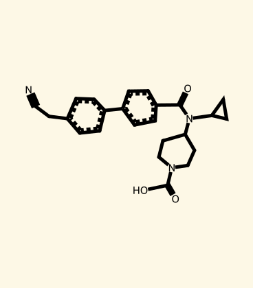 N#CCc1ccc(-c2ccc(C(=O)N(C3CC3)C3CCN(C(=O)O)CC3)cc2)cc1